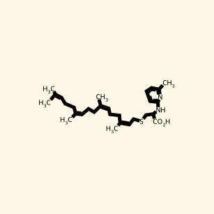 CC(C)=CCCC(C)=CCCC(C)=CCCC(C)=CCSCC(Nc1cccc(C)n1)C(=O)O